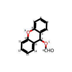 O=COC1c2ccccc2Oc2ccccc21